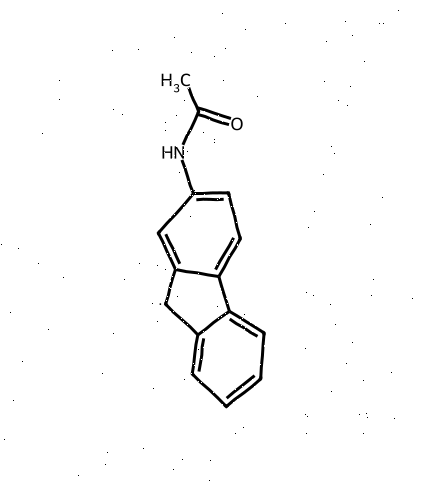 CC(=O)Nc1ccc2c(c1)[CH]c1ccccc1-2